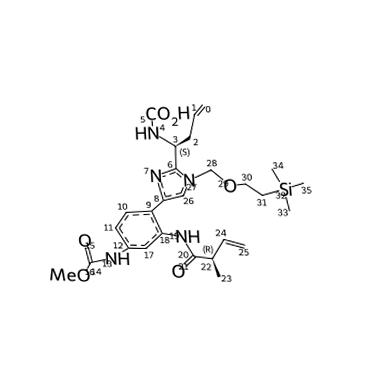 C=CC[C@H](NC(=O)O)c1nc(-c2ccc(NC(=O)OC)cc2NC(=O)[C@H](C)C=C)cn1COCC[Si](C)(C)C